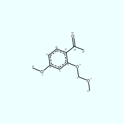 COCOc1cc(OC)ccc1C(C)=O